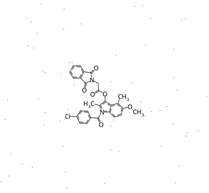 COc1ccc2c(c1C)c(OC(=O)CN1C(=O)c3ccccc3C1=O)c(C)n2C(=O)c1ccc(Cl)cc1